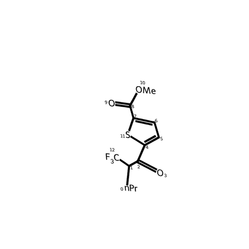 CCCC(C(=O)c1ccc(C(=O)OC)s1)C(F)(F)F